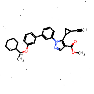 C#CC1CC1c1c(C(=O)OC)cnn1-c1cccc(-c2cccc(O[C@@H](C)C3CCCCC3)c2)c1